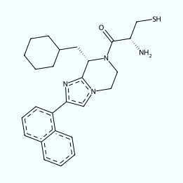 N[C@@H](CS)C(=O)N1CCn2cc(-c3cccc4ccccc34)nc2[C@@H]1CC1CCCCC1